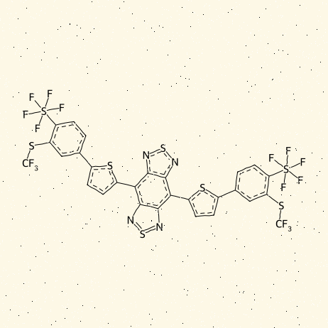 FC(F)(F)Sc1cc(-c2ccc(-c3c4c(c(-c5ccc(-c6ccc(S(F)(F)(F)(F)F)c(SC(F)(F)F)c6)s5)c5nsnc35)N=S=N4)s2)ccc1S(F)(F)(F)(F)F